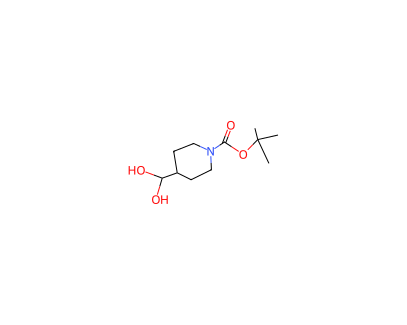 CC(C)(C)OC(=O)N1CCC(C(O)O)CC1